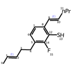 C/C=C/CCc1ccc(/C=C/CCC)c(S)c1F